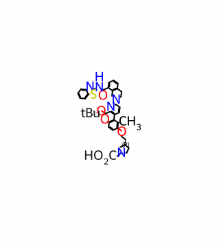 Cc1c(OCC[C@H]2CCN(CC(=O)O)C2)cccc1-c1ccc(N2CCc3cccc(C(=O)Nc4nc5ccccc5s4)c3C2)nc1C(=O)OC(C)(C)C